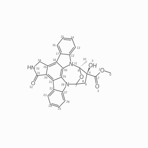 COC(=O)[C@]1(O)CC2O[C@@]1(C)n1c3ccccc3c3c4c(c5c6ccccc6n2c5c31)C(=O)NC4